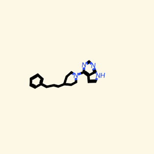 c1ccc(CCCC2CCN(c3ncnc4[nH]ccc34)CC2)cc1